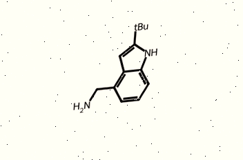 CC(C)(C)c1cc2c(CN)cccc2[nH]1